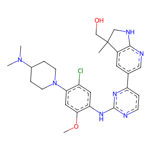 COc1cc(N2CCC(N(C)C)CC2)c(Cl)cc1Nc1nccc(-c2cnc3c(c2)C(C)(CO)CN3)n1